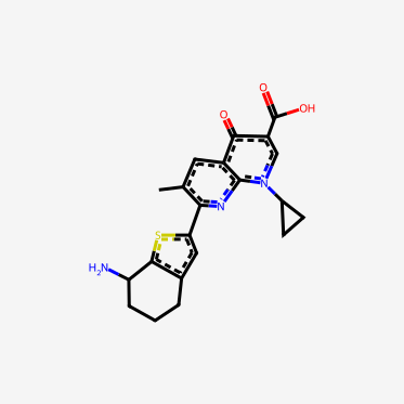 Cc1cc2c(=O)c(C(=O)O)cn(C3CC3)c2nc1-c1cc2c(s1)C(N)CCC2